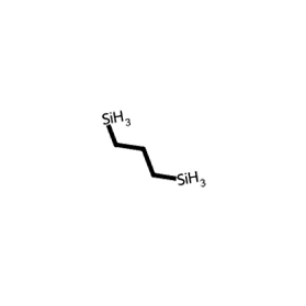 [SiH3]CCC[SiH3]